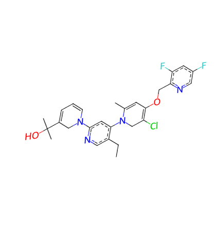 CCc1cnc(N2C=CC=C(C(C)(C)O)C2)cc1N1CC(Cl)=C(OCc2ncc(F)cc2F)C=C1C